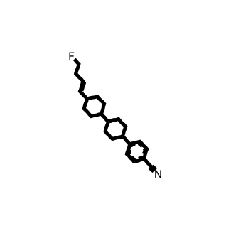 N#Cc1ccc(C2CCC(C3CCC(C=CCCF)CC3)CC2)cc1